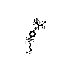 CNC(=O)C(N=Nc1ccc(S(=O)(=O)NCCCO)cc1)C(=O)NC